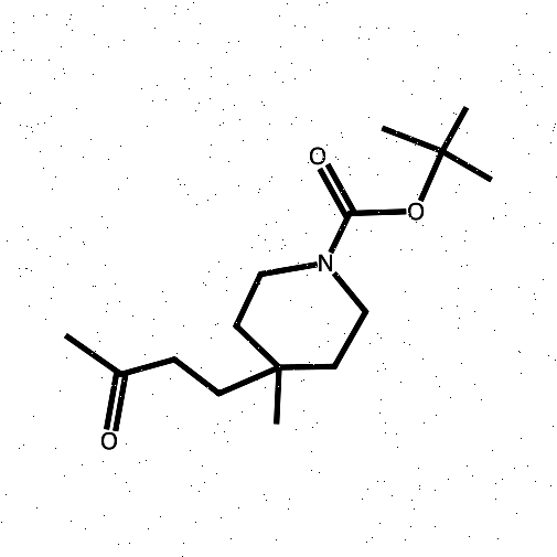 CC(=O)CCC1(C)CCN(C(=O)OC(C)(C)C)CC1